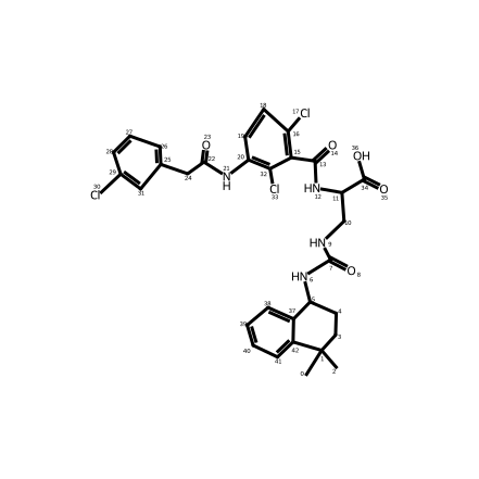 CC1(C)CCC(NC(=O)NCC(NC(=O)c2c(Cl)ccc(NC(=O)Cc3cccc(Cl)c3)c2Cl)C(=O)O)c2ccccc21